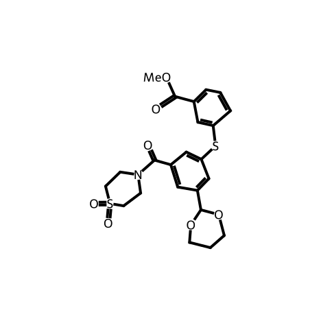 COC(=O)c1cccc(Sc2cc(C(=O)N3CCS(=O)(=O)CC3)cc(C3OCCCO3)c2)c1